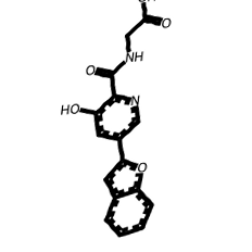 O=C(O)CNC(=O)c1ncc(-c2cc3ccccc3o2)cc1O